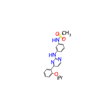 CC(C)Oc1ccccc1-c1ccnc(Nc2cccc(NS(C)(=O)=O)c2)n1